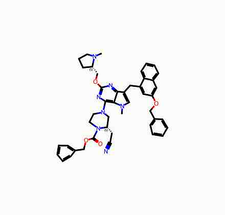 CN1CCC[C@H]1COc1nc(N2CCN(C(=O)OCc3ccccc3)[C@@H](CC#N)C2)c2c(n1)c(Cc1cc(OCc3ccccc3)cc3ccccc13)cn2C